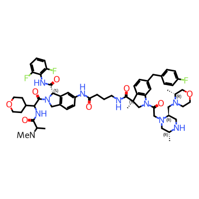 CNC(C)C(=O)NC(C(=O)N1Cc2ccc(NC(=O)CCCNC(=O)[C@]3(C)CN(C(=O)CN4C[C@@H](C)NC[C@@H]4CN4CCOC[C@H]4C)c4cc(Cc5ccc(F)cc5)ccc43)cc2[C@H]1C(=O)Nc1c(F)cccc1F)C1CCOCC1